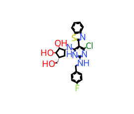 OC[C@H]1C[C@@H](Nc2nc(NCc3ccc(F)cc3)nc(Cl)c2-c2nc3ccccc3s2)[C@H](O)[C@@H]1O